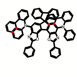 c1ccc(-c2nc3c(N(c4ccccc4)c4ccccc4-c4ccccc4)cc4c(c3o2)-c2c(cc(N(c3ccccc3)c3ccccc3-c3ccccc3)c3nc(-c5ccccc5)oc23)C42c3ccccc3-c3ccccc32)cc1